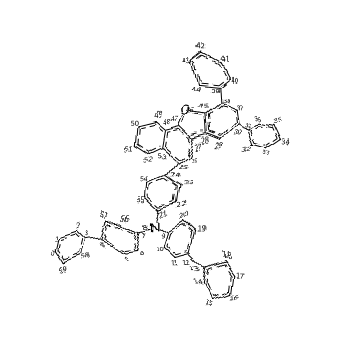 c1ccc(-c2ccc(N(c3ccc(-c4ccccc4)cc3)c3ccc(-c4cc5c6cc(-c7ccccc7)cc(-c7ccccc7)c6oc5c5ccccc45)cc3)cc2)cc1